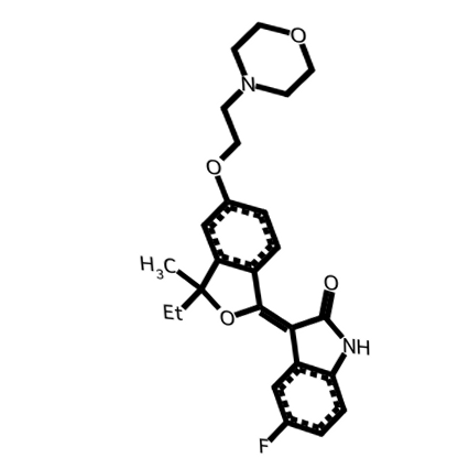 CCC1(C)OC(=C2C(=O)Nc3ccc(F)cc32)c2ccc(OCCN3CCOCC3)cc21